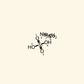 N.O=S(=O)(O)O.[Co].[MgH2]